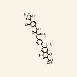 CNC(=O)c1ccc(NC(=O)[C@@H](N)Cc2ccc(-c3cc4[nH]cc(C(=O)O)c(=O)c4cc3C)cc2)cc1Cl